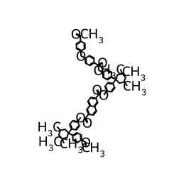 COc1ccc(C2(c3ccc(OC(=O)c4ccc5cc(C(=O)Oc6ccc(C7(c8ccc(OC(=O)c9ccc(Oc%10ccc(C(C)=O)cc%10)cc9)cc8)CC(C)CC(C)(C)C7)cc6)ccc5c4)cc3)CC(C)CC(C)(C)C2)cc1